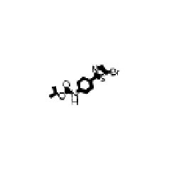 CC(C)OC(=O)NC1CCC(c2ncc(Br)s2)CC1